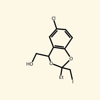 CCC1(CI)Oc2ccc(Cl)cc2C(CO)O1